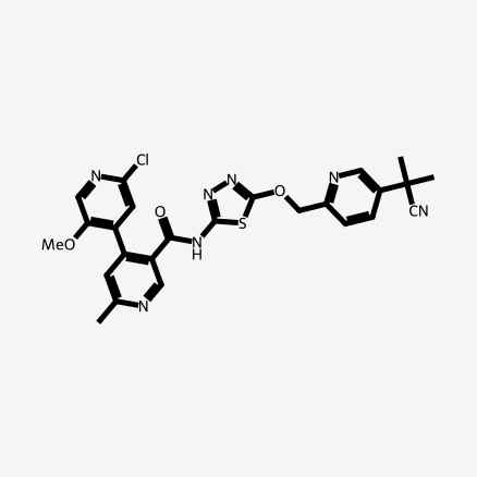 COc1cnc(Cl)cc1-c1cc(C)ncc1C(=O)Nc1nnc(OCc2ccc(C(C)(C)C#N)cn2)s1